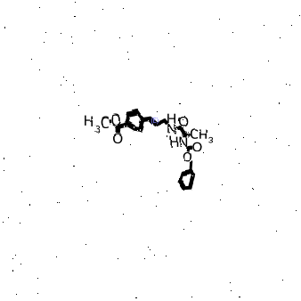 COC(=O)c1ccc(/C=C/CNC(=O)[C@@H](C)NC(=O)OCc2ccccc2)cc1